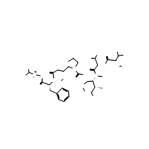 CC[C@H](C)[C@@H]([C@@H](CC(=O)N1CCC[C@H]1[C@H](OC)[C@@H](C)C(=O)N[C@@H](Cc1ccccc1)C(=O)NS(=O)(=O)C(C)C)OC)N(C)C(=O)[C@@H](NC(=O)[C@@H](NC)C(C)C)C(C)C